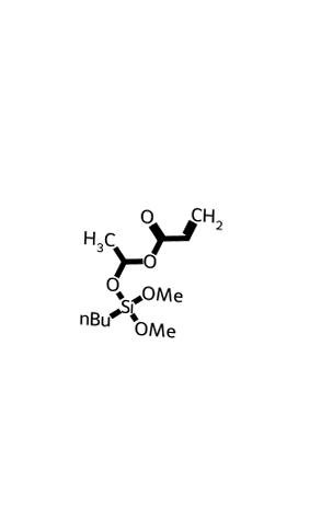 C=CC(=O)OC(C)O[Si](CCCC)(OC)OC